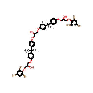 CC(C)(c1ccc(OCC(O)COc2ccc(C(C)(C)c3ccc(OCC(O)COc4c(Br)cc(Br)cc4Br)cc3)cc2)cc1)c1ccc(OCC(O)COc2c(Br)cc(Br)cc2Br)cc1